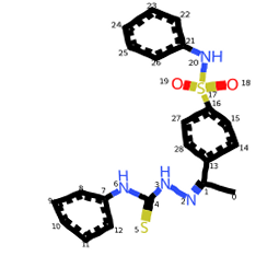 CC(=NNC(=S)Nc1ccccc1)c1ccc(S(=O)(=O)Nc2ccccc2)cc1